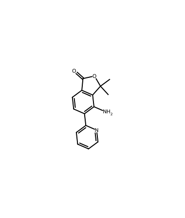 CC1(C)OC(=O)c2ccc(-c3ccccn3)c(N)c21